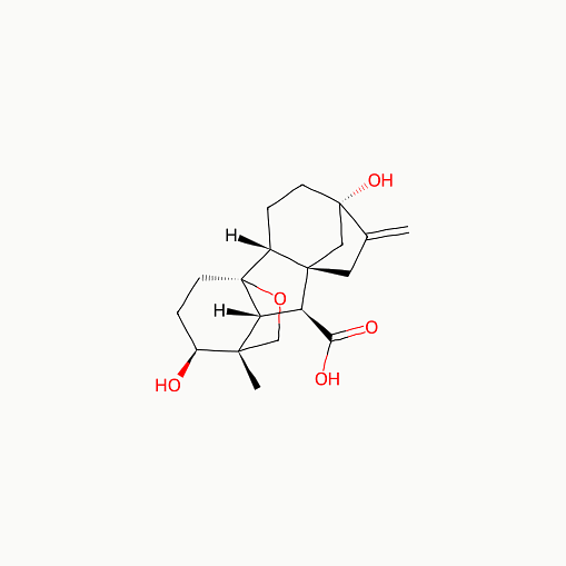 C=C1C[C@]23C[C@@]1(O)CC[C@H]2[C@@]12CC[C@H](O)[C@@](C)(CO1)[C@H]2[C@@H]3C(=O)O